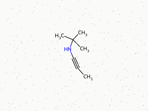 CC#CNC(C)(C)C